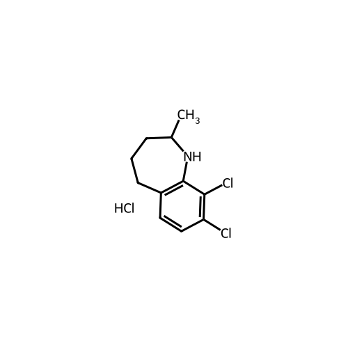 CC1CCCc2ccc(Cl)c(Cl)c2N1.Cl